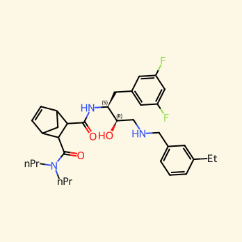 CCCN(CCC)C(=O)C1C2C=CC(C2)C1C(=O)N[C@@H](Cc1cc(F)cc(F)c1)[C@H](O)CNCc1cccc(CC)c1